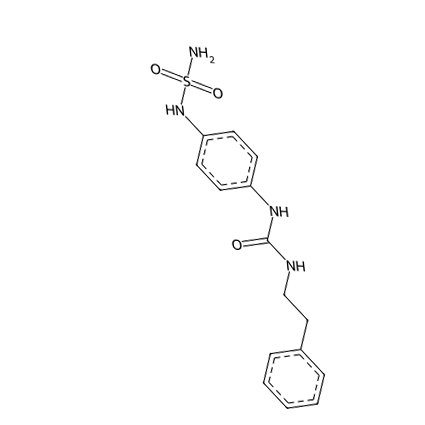 NS(=O)(=O)Nc1ccc(NC(=O)NCCc2ccccc2)cc1